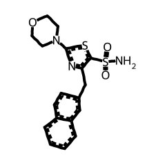 NS(=O)(=O)c1sc(N2CCOCC2)nc1Cc1ccc2ccccc2c1